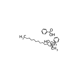 CCCCCCCCCCC(O)C[N+](C)(C)Cc1ccccc1.O=C(O)c1ccccc1